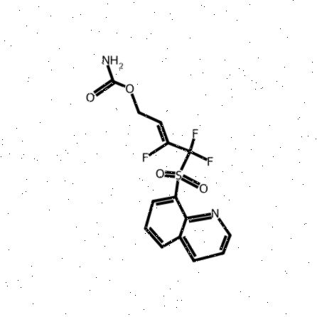 NC(=O)OCC=C(F)C(F)(F)S(=O)(=O)c1cccc2cccnc12